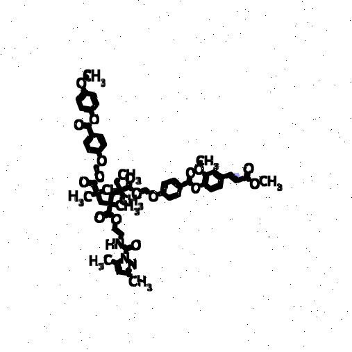 CCC(C)(CC(C)(CC(C)(C)C(=O)OCOc1ccc(C(=O)Oc2ccc(OC)cc2)cc1)C(=O)OCCNC(=O)n1nc(C)cc1C)C(=O)OCOc1ccc(C(=O)Oc2ccc(/C=C/C(=O)OC)cc2OC)cc1